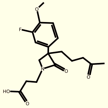 COc1ccc(C2(CCCC(C)=O)CN(CCC(=O)O)C2=O)cc1F